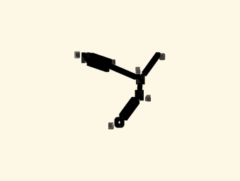 CN(C#N)N=O